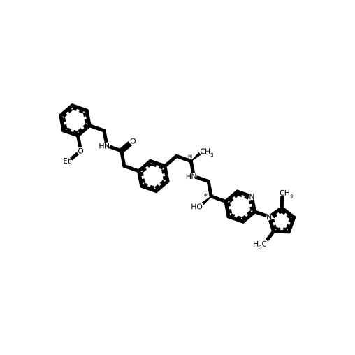 CCOc1ccccc1CNC(=O)Cc1cccc(C[C@@H](C)NC[C@H](O)c2ccc(-n3c(C)ccc3C)nc2)c1